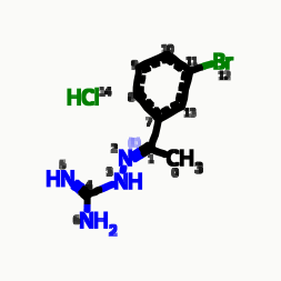 C/C(=N\NC(=N)N)c1cccc(Br)c1.Cl